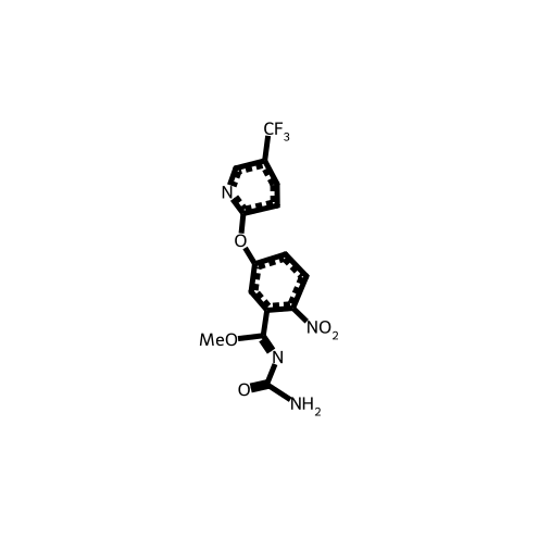 COC(=NC(N)=O)c1cc(Oc2ccc(C(F)(F)F)cn2)ccc1[N+](=O)[O-]